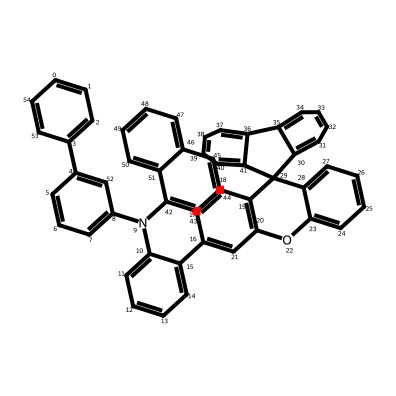 c1ccc(-c2cccc(N(c3ccccc3-c3ccc4c(c3)Oc3ccccc3C43c4ccccc4-c4ccccc43)c3cccc4ccccc34)c2)cc1